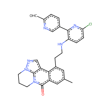 Cc1cc(CCNc2ccc(Cl)nc2-c2ccc(C=O)nc2)c2c(c1)c(=O)n1c3c2cnn3CCC1